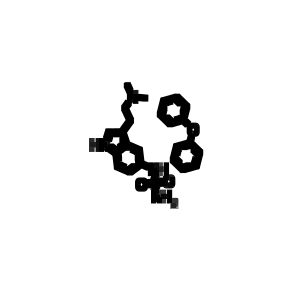 CN(C)CCc1c[nH]c2ccc(NS(N)(=O)=O)cc12.c1ccc(Oc2ccccc2)cc1